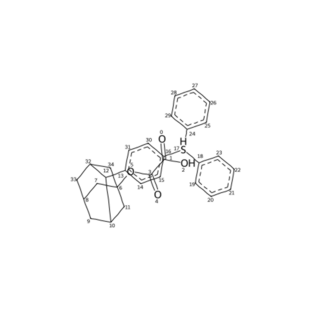 O=C(O)C(=O)OC12CC3CC(C1)C(c1ccc([SH](c4ccccc4)c4ccccc4)cc1)C(C3)C2